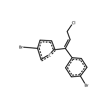 ClCC=C(c1ccc(Br)cc1)c1ccc(Br)cc1